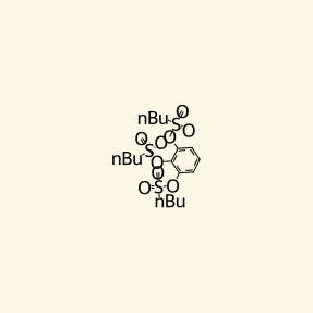 CCCCS(=O)(=O)Oc1cccc(OS(=O)(=O)CCCC)c1OS(=O)(=O)CCCC